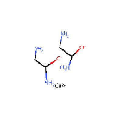 NCC(N)[O-].NCC(N)[O-].[Cu+2]